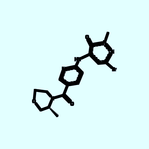 C[C@@H]1COCCN1C(=O)c1ccc(Nc2cc(Br)nn(C)c2=O)nc1